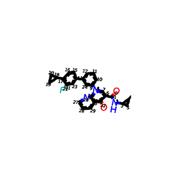 O=C(NC1CC1)c1cn(-c2cccc(-c3ccc(C4CC4)c(F)c3)c2)c2ncccc2c1=O